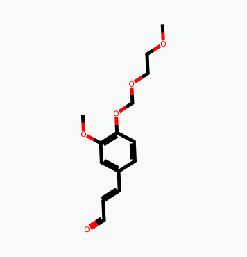 COCCOCOc1ccc(C=CC=O)cc1OC